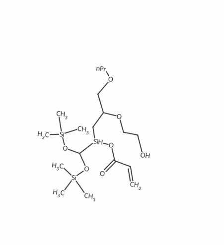 C=CC(=O)O[SiH](CC(COCCC)OCCO)C(O[Si](C)(C)C)O[Si](C)(C)C